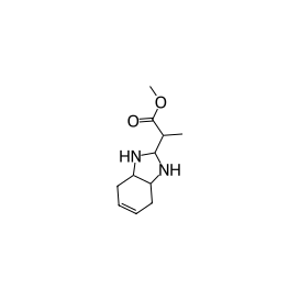 COC(=O)C(C)C1NC2CC=CCC2N1